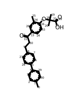 Cc1ccc(-c2ccc(CCC(=O)c3ccc(OC(C)(C)C(=O)O)c(C)c3)cc2)cc1